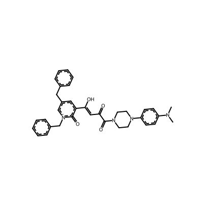 CN(C)c1ccc(N2CCN(C(=O)C(=O)C=C(O)c3cc(Cc4ccccc4)cn(Cc4ccccc4)c3=O)CC2)cc1